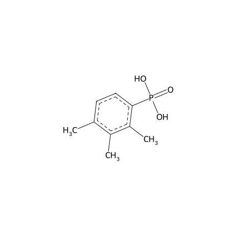 Cc1ccc(P(=O)(O)O)c(C)c1C